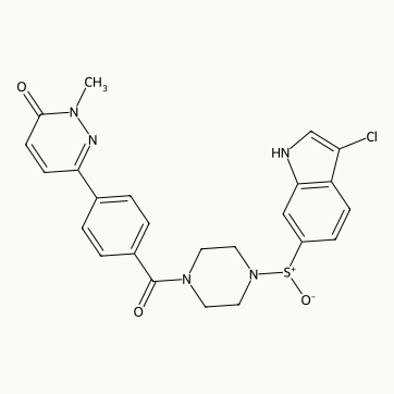 Cn1nc(-c2ccc(C(=O)N3CCN([S+]([O-])c4ccc5c(Cl)c[nH]c5c4)CC3)cc2)ccc1=O